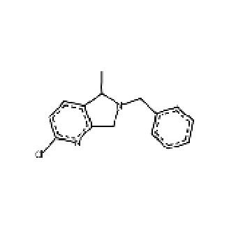 CC1c2ccc(Cl)nc2CN1Cc1ccccc1